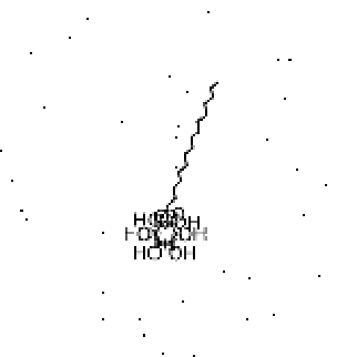 CCCCCCCCCCCCCCCCS(=O)(=O)[C@]1(O)[C@H](O)[C@@H](O)[C@H](O)[C@H](O)[C@@H]1O